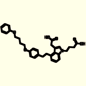 O=C(O)CCCn1cc(CC(=O)O)c2c(CCc3ccc(OCCCCOc4ccccc4)cc3)cccc21